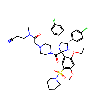 CCOc1cc(OC)c(S(=O)(=O)N2CCCCC2)cc1C1(C(=O)N2CCN(CC(=O)N(C)CCC#N)CC2)N[C@H](c2ccc(Cl)cc2)[C@H](c2ccc(Cl)cc2)N1